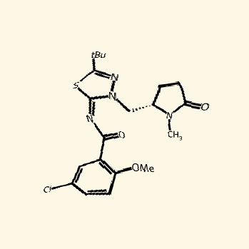 COc1ccc(Cl)cc1C(=O)N=c1sc(C(C)(C)C)nn1C[C@@H]1CCC(=O)N1C